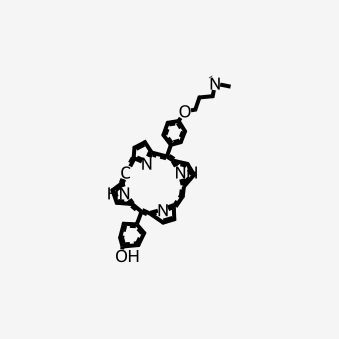 CN(C)CCCOc1ccc(-c2c3nc(cc4ccc([nH]4)c(-c4ccc(O)cc4)c4nc(cc5ccc2[nH]5)C=C4)C=C3)cc1